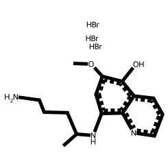 Br.Br.Br.COc1cc(NC(C)CCCN)c2ncccc2c1O